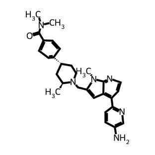 C[C@H]1C[C@H](c2ccc(C(=O)N(C)C)cc2)CCN1Cc1cc2c(-c3ccc(N)cn3)ccnc2n1C